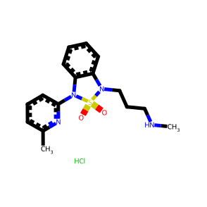 CNCCCN1c2ccccc2N(c2cccc(C)n2)S1(=O)=O.Cl